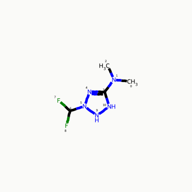 CN(C)C1=NN(C(F)F)NN1